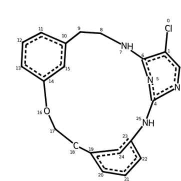 Clc1cnc2nc1NCCc1cccc(c1)OCCc1cccc(c1)N2